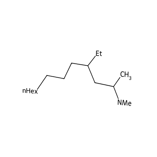 CCCCCCCCCC(CC)CC(C)NC